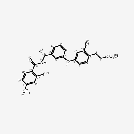 CCOC(=O)CCc1ccc(Oc2cccc([C@@H](C)NC(=O)c3ccc(C(F)(F)F)cc3F)c2)cc1CC